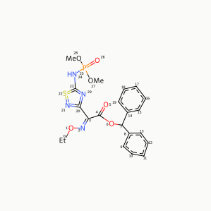 CCON=C(C(=O)OC(c1ccccc1)c1ccccc1)c1nsc(NP(=O)(OC)OC)n1